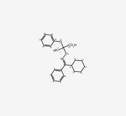 CCCC(ON=C(c1ccccc1)C1CCCCC1)(Oc1ccccc1)C(=O)O